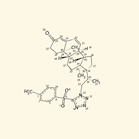 Cc1ccc(S(=O)(=O)c2nnnn2C[C@@H](C)[C@H]2CC[C@H]3[C@@H]4C=CC5=CC(=O)CC[C@]5(C)[C@H]4CC[C@]23C)cc1